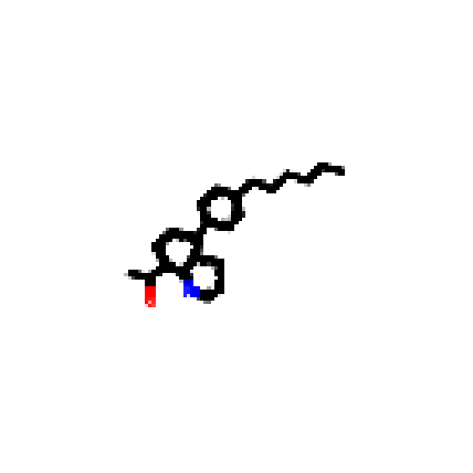 CCCCCCc1ccc(-c2ccc(C(C)=O)c3ncccc23)cc1